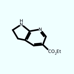 CCOC(=O)c1cnc2c(c1)CCN2